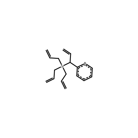 C=CC[Si](CC=C)(CC=C)C(C=C)c1bcccc1